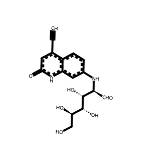 C#Cc1cc(=O)[nH]c2cc(N[C@@H](C=O)[C@@H](O)[C@H](O)[C@H](O)CO)ccc12